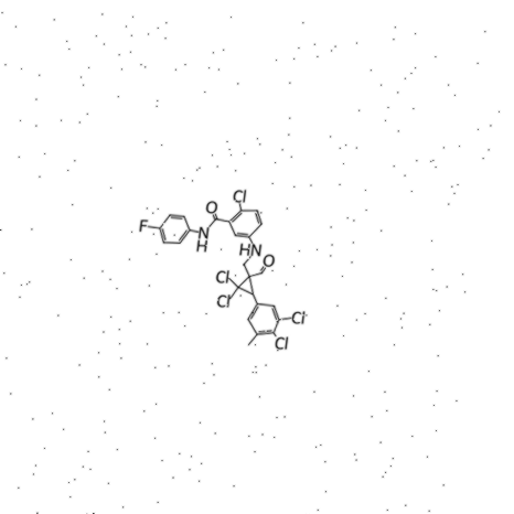 Cc1cc(C2C(Cl)(Cl)C2(C=O)CNc2ccc(Cl)c(C(=O)Nc3ccc(F)cc3)c2)cc(Cl)c1Cl